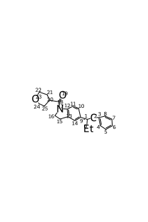 CC[C](Cc1ccccc1)c1ccc2c(c1)CCN2C(=O)C1CCOCC1